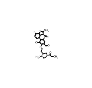 C=CC(=O)N1CCN(C)C(CCOc2c(C=O)cc(F)c(-c3ccc(F)c4sc(N)c(C#N)c34)c2Cl)C1